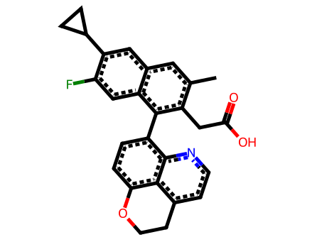 Cc1cc2cc(C3CC3)c(F)cc2c(-c2ccc3c4c(ccnc24)CCO3)c1CC(=O)O